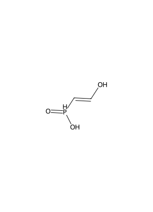 O=[PH](O)/C=C/O